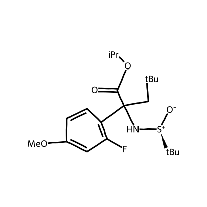 COc1ccc(C(CC(C)(C)C)(N[S@@+]([O-])C(C)(C)C)C(=O)OC(C)C)c(F)c1